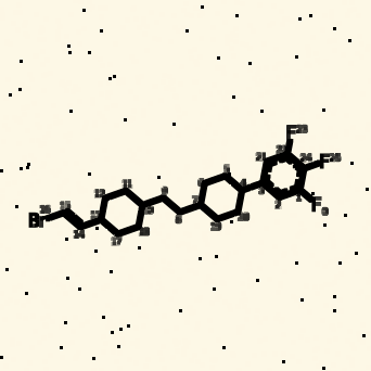 Fc1cc(C2CCC(CCC3CCC(/C=C/Br)CC3)CC2)cc(F)c1F